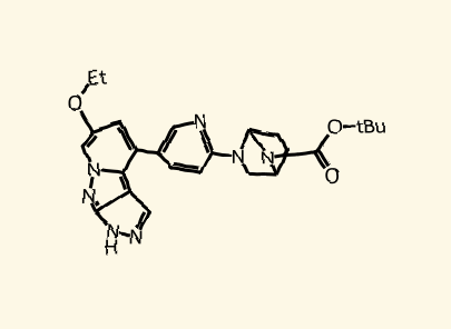 CCOc1cc(-c2ccc(N3CC4CCC3CN4C(=O)OC(C)(C)C)nc2)c2c3cn[nH]c3nn2c1